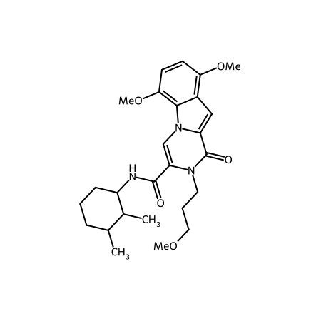 COCCCn1c(C(=O)NC2CCCC(C)C2C)cn2c(cc3c(OC)ccc(OC)c32)c1=O